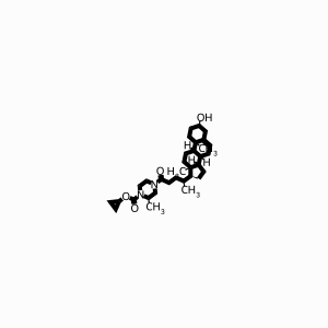 C[C@H](CCC(=O)N1CCN(C(=O)OC2CC2)[C@@H](C)C1)[C@H]1CC[C@H]2[C@@H]3CC=C4C[C@@H](O)CC[C@]4(C)[C@H]3CC[C@]12C